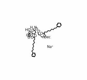 CCCCCCCCCCC[C@@H](CC(=O)[C@H]1C(ON)O[C@H](CO)[C@@H](OS(=O)(=O)[O-])[C@@H]1OC(=O)CCCCCCCCc1ccccc1)OC(=O)CCCCCCCCc1ccccc1.[Na+]